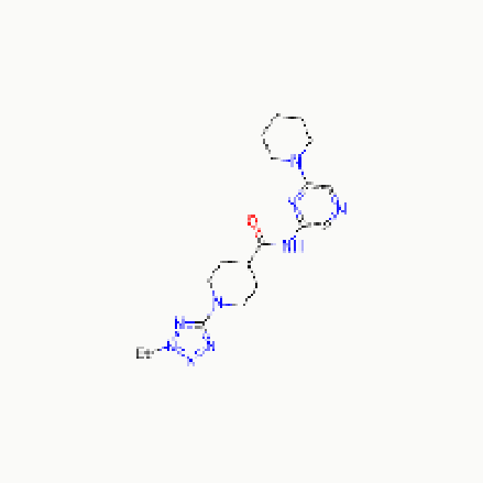 CCn1nnc(N2CCC(C(=O)Nc3cncc(N4CCCCC4)n3)CC2)n1